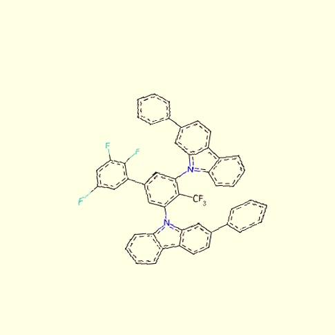 Fc1cc(F)c(F)c(-c2cc(-n3c4ccccc4c4ccc(-c5ccccc5)cc43)c(C(F)(F)F)c(-n3c4ccccc4c4ccc(-c5ccccc5)cc43)c2)c1